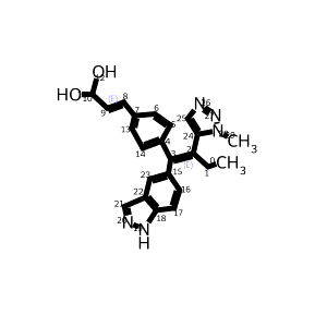 CC/C(=C(/c1ccc(/C=C/C(O)O)cc1)c1ccc2[nH]ncc2c1)c1cnnn1C